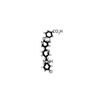 O=C(O)[C@H]1CC[C@@H](Oc2ncc(-c3ccc(-c4nc5ccc(Cl)cc5[nH]4)cn3)cc2F)CC1